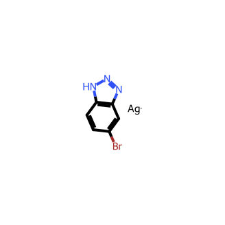 Brc1ccc2[nH]nnc2c1.[Ag]